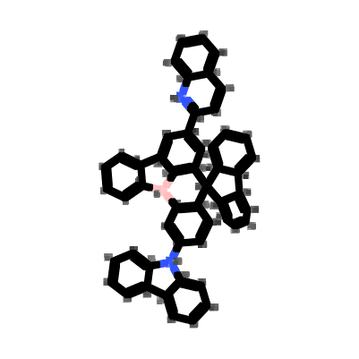 c1ccc2c(c1)B1c3cc(-n4c5ccccc5c5ccccc54)ccc3C3(c4ccccc4-c4ccccc43)c3cc(-c4ccc5ccccc5n4)cc-2c31